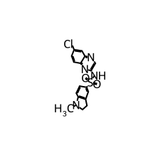 CN1CCc2cc(S(=O)(=O)Nc3cnc4cc(Cl)ccc4n3)ccc21